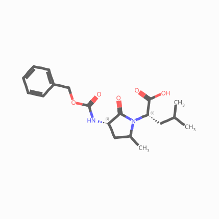 CC(C)C[C@@H](C(=O)O)N1C(=O)[C@@H](NC(=O)OCc2ccccc2)CC1C